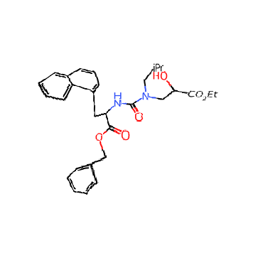 CCOC(=O)C(O)CN(CC(C)C)C(=O)NC(Cc1cccc2ccccc12)C(=O)OCc1ccccc1